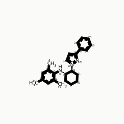 Cc1cc(C)c(N[C@H]2CCCC[C@@H]2n2ccc(-c3ccccc3)n2)c(C)c1